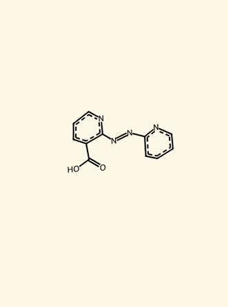 O=C(O)c1cccnc1N=Nc1ccccn1